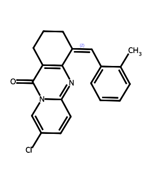 Cc1ccccc1/C=C1/CCCc2c1nc1ccc(Cl)cn1c2=O